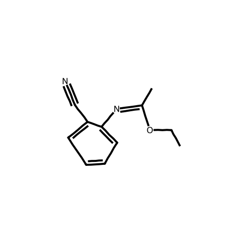 CCOC(C)=Nc1ccccc1C#N